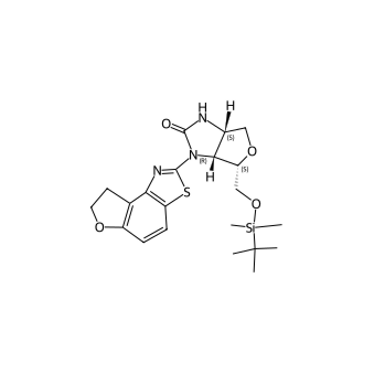 CC(C)(C)[Si](C)(C)OC[C@H]1OC[C@H]2NC(=O)N(c3nc4c5c(ccc4s3)OCC5)[C@H]21